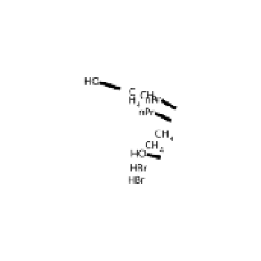 Br.Br.C.C.C.C.CCCC.CCCC.CO.CO